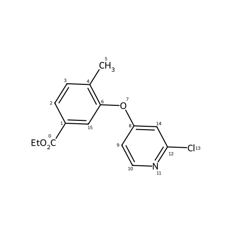 CCOC(=O)c1ccc(C)c(Oc2ccnc(Cl)c2)c1